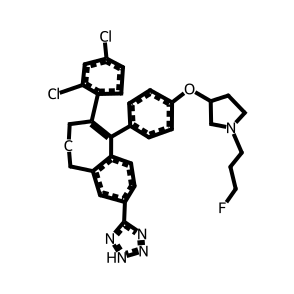 FCCCN1CCC(Oc2ccc(C3=C(c4ccc(Cl)cc4Cl)CCCc4cc(-c5nn[nH]n5)ccc43)cc2)C1